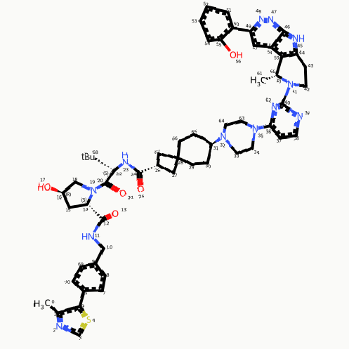 Cc1ncsc1-c1ccc(CNC(=O)[C@@H]2C[C@@H](O)CN2C(=O)[C@@H](NC(=O)[C@H]2CC3(CC[C@H](N4CCN(c5ccnc(N6CCc7[nH]c8nnc(-c9ccccc9O)cc8c7[C@H]6C)n5)CC4)CC3)C2)C(C)(C)C)cc1